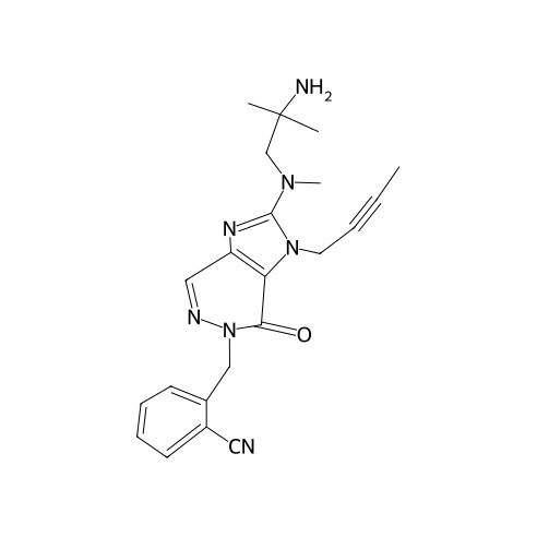 CC#CCn1c(N(C)CC(C)(C)N)nc2cnn(Cc3ccccc3C#N)c(=O)c21